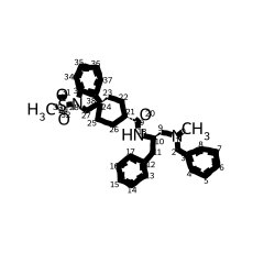 CN(Cc1ccccc1)C[C@H](Cc1ccccc1)NC(=O)[C@H]1CC[C@]2(CC1)CN(S(C)(=O)=O)c1ccccc12